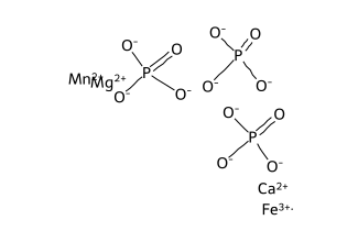 O=P([O-])([O-])[O-].O=P([O-])([O-])[O-].O=P([O-])([O-])[O-].[Ca+2].[Fe+3].[Mg+2].[Mn+2]